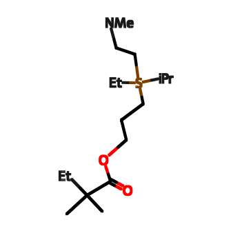 CCC(C)(C)C(=O)OCCCS(CC)(CCNC)C(C)C